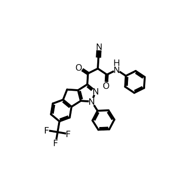 N#CC(C(=O)Nc1ccccc1)C(=O)c1nn(-c2ccccc2)c2c1Cc1ccc(C(F)(F)F)cc1-2